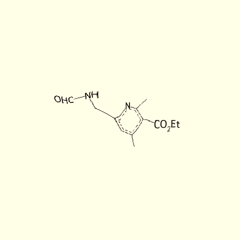 CCOC(=O)c1c(C)cc(CNC=O)nc1C